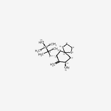 C=C1[C@H](CC(C)(C)[Si](C)(C)O)CC2(C[C@H]1O)SCCS2